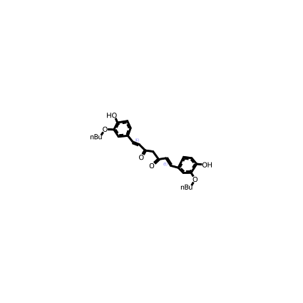 CCCCOc1cc(/C=C/C(=O)CC(=O)/C=C/c2ccc(O)c(OCCCC)c2)ccc1O